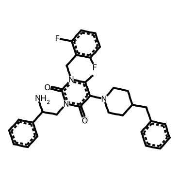 Cc1c(N2CCC(Cc3ccccc3)CC2)c(=O)n(CC(N)c2ccccc2)c(=O)n1Cc1c(F)cccc1F